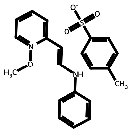 CO[n+]1ccccc1C=CNc1ccccc1.Cc1ccc(S(=O)(=O)[O-])cc1